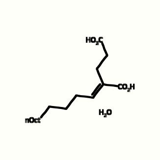 CCCCCCCCCCCC=C(CCC(=O)O)C(=O)O.O